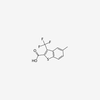 Cc1ccc2sc(C(=O)O)c(C(F)(F)F)c2c1